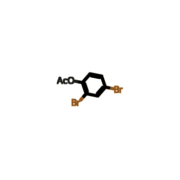 CC(=O)Oc1ccc(Br)cc1Br